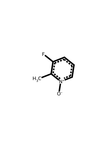 Cc1c(F)ccc[n+]1[O-]